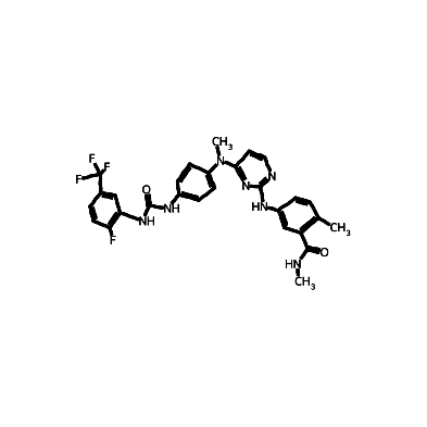 CNC(=O)c1cc(Nc2nccc(N(C)c3ccc(NC(=O)Nc4cc(C(F)(F)F)ccc4F)cc3)n2)ccc1C